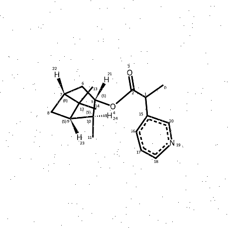 CC(C(=O)O[C@H]1C[C@H]2C[C@@H]([C@@H]1C)C2(C)C)c1cccnc1